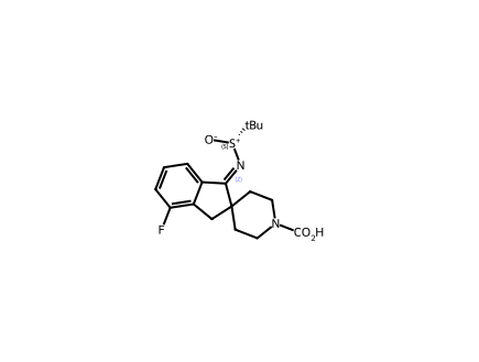 CC(C)(C)[S@@+]([O-])/N=C1\c2cccc(F)c2CC12CCN(C(=O)O)CC2